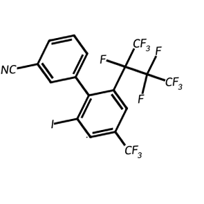 N#Cc1cccc(-c2c(I)[c]c(C(F)(F)F)cc2C(F)(C(F)(F)F)C(F)(F)C(F)(F)F)c1